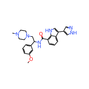 COc1cccc(C(CN2CCN(C)CC2)NC(=O)c2cccc3c(-c4cn[nH]c4)c[nH]c23)c1